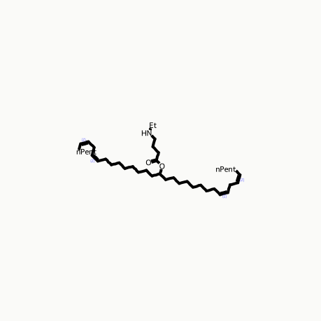 CCCCC/C=C\C/C=C\CCCCCCCCC(CCCCCCCC/C=C\C/C=C\CCCCC)OC(=O)CCCNCC